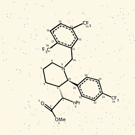 CCCC(C(=O)OC)[C@@H]1CCCN(Cc2cc(C(F)(F)F)ccc2C(F)(F)F)[C@H]1c1ccc(C(F)(F)F)cc1